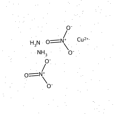 N.N.O=[N+]([O-])[O-].O=[N+]([O-])[O-].[Cu+2]